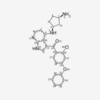 N[C@@H]1CC[C@H](Nc2ccnc3[nH]cc(C(=O)c4ccc(Oc5ccccc5)cc4Cl)c23)C1